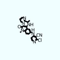 CC(Nc1cc(=O)n(C)c2ccc(Nc3ccnc(Cl)c3C#N)cc12)c1ncccn1